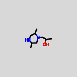 CC(O)CN1CC(C)NCC1C